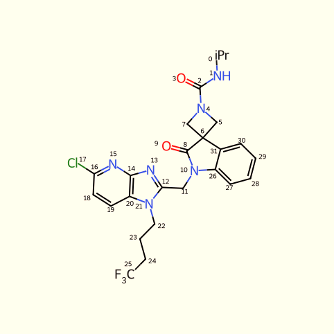 CC(C)NC(=O)N1CC2(C1)C(=O)N(Cc1nc3nc(Cl)ccc3n1CCCC(F)(F)F)c1ccccc12